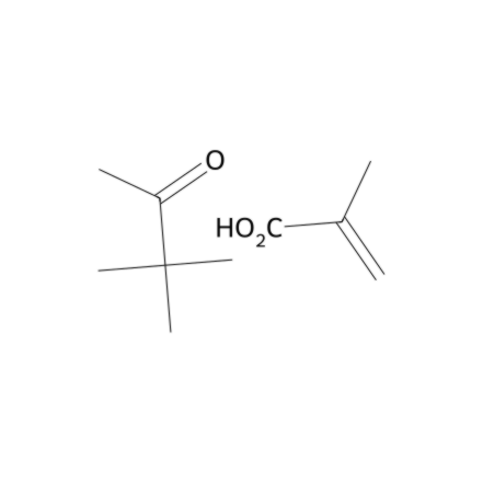 C=C(C)C(=O)O.CC(=O)C(C)(C)C